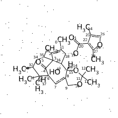 CC1=CC23C(=O)[C@@H](C=C4COC(C)(C)O[C@H]4[C@]2(O)[C@H]1OC(=O)c1c(C)coc1C)C(C)(C)[C@@H](C)CC3C